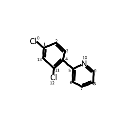 Clc1ccc(-c2cc[c]cn2)c(Cl)c1